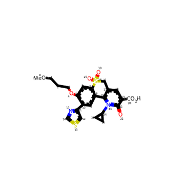 COCCCOc1cc2c(cc1-c1cscn1)-c1c(cc(C(=O)O)c(=O)n1C1CC1)CS2(=O)=O